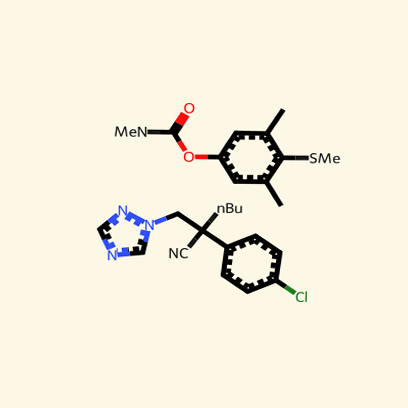 CCCCC(C#N)(Cn1cncn1)c1ccc(Cl)cc1.CNC(=O)Oc1cc(C)c(SC)c(C)c1